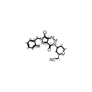 N#CC[C@H]1C[C@@H](n2nnc3c(Cl)n(Cc4ccccc4F)nc3c2=O)CCO1